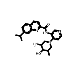 CC(C)c1ccc2ccc(C(=O)Nc3cnccc3N3CC(C)C(O)C(N)C3)nc2c1